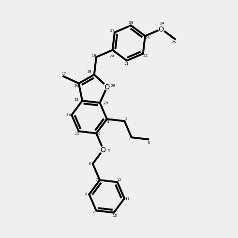 CCCc1c(OCc2ccccc2)ccc2c(C)c(Cc3ccc(OC)cc3)oc12